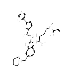 C=CC(=O)N(C)CCC[C@H](CC)n1c(NC(=O)c2ccc(-c3cnco3)s2)nc2cc(CN3CCCC3)ccc21